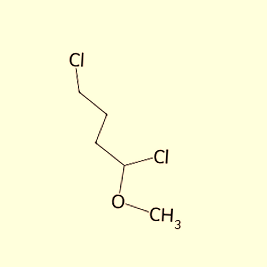 COC(Cl)CCCCl